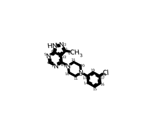 Cc1n[nH]c2ncnc(N3CCN(c4cccc(Cl)c4)CC3)c12